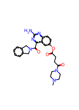 CN1CCN(C(=O)CCC(=O)Oc2ccc3nc(N)nc(C(=O)N4Cc5ccccc5C4)c3c2)CC1